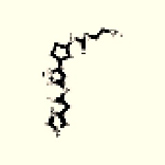 CCCNC(=O)OC1CCC(c2cc(NC(=O)Cc3c[nH]cn3)n[nH]2)C1